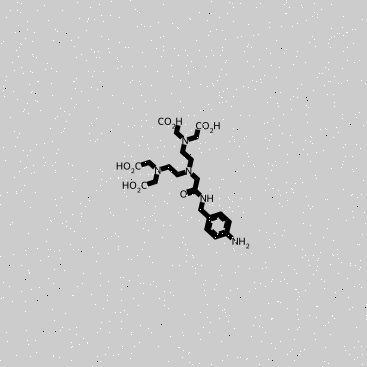 Nc1ccc(CNC(=O)CN(CCN(CC(=O)O)CC(=O)O)CCN(CC(=O)O)CC(=O)O)cc1